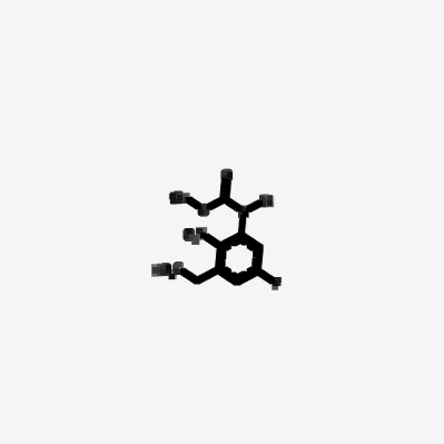 CCN(C(=O)OC(C)(C)C)c1cc(F)cc(CC(=O)O)c1[N+](=O)[O-]